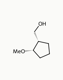 CO[C@H]1CCC[C@H]1CO